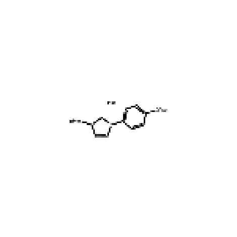 Br.CCCCCCN1C=CN(c2ccc(OC)cc2)C1